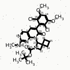 CNc1ncc2cc(-c3c(Cl)c(OC)cc(OC)c3Cl)c(=O)n(C3N(C(=O)OC(C)(C)C)CC34CCC4)c2n1